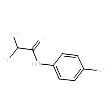 CC(Br)C(=O)Nc1ccc([N+](=O)[O-])cc1